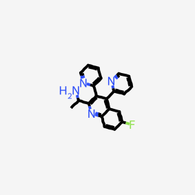 CC(N)c1nc2ccc(F)cc2c(-c2ccccn2)c1-c1ccccn1